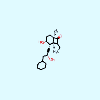 CCC1C(=O)[C@]2(C)CC[C@H](O)[C@@H](C#C[C@@H](O)CC3CCCCC3)[C@H]12